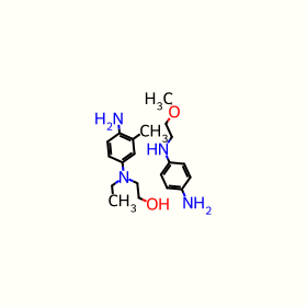 CCN(CCO)c1ccc(N)c(C)c1.COCCNc1ccc(N)cc1